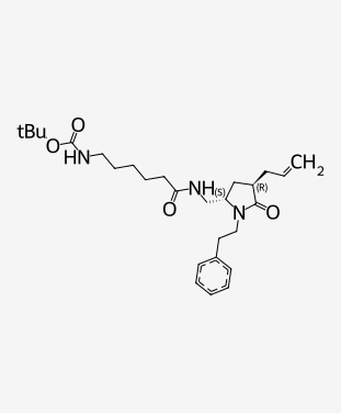 C=CC[C@@H]1C[C@@H](CNC(=O)CCCCCNC(=O)OC(C)(C)C)N(CCc2ccccc2)C1=O